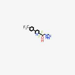 OC(Cn1cnnn1)C(F)(F)c1ccc(-c2ccc(C(F)(F)F)cc2)cn1